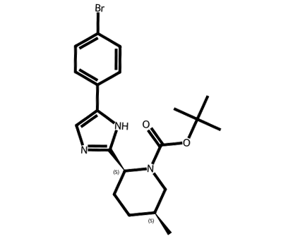 C[C@H]1CC[C@@H](c2ncc(-c3ccc(Br)cc3)[nH]2)N(C(=O)OC(C)(C)C)C1